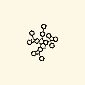 c1ccc(-c2ccc(N3c4cc5c(cc4B4c6cc7c8ccccc8n(-c8ccccc8)c7cc6Sc6cc(C7(c8ccccc8)c8ccccc8-c8ccccc87)cc3c64)c3ccccc3n5-c3ccccc3)cc2)cc1